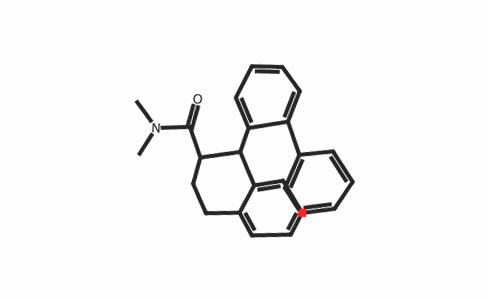 CN(C)C(=O)C1CCc2ccccc2C1c1ccccc1-c1ccccc1